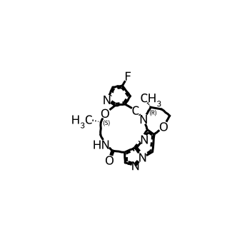 C[C@@H]1CCOc2cn3ncc4c3nc2N1Cc1cc(F)cnc1O[C@@H](C)CNC4=O